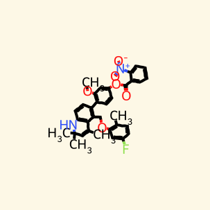 COc1cc(OC(=O)c2ccccc2[N+](=O)[O-])ccc1-c1ccc2c(c1COc1cc(F)ccc1C)C(C)=CC(C)(C)N2